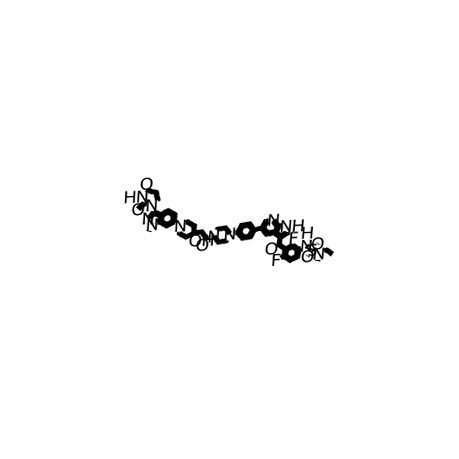 CCN(C)S(=O)(=O)Nc1ccc(F)c(C(=O)c2c[nH]c3ncc(-c4ccc(N5CCN(C(=O)CC6(O)CCN(c7ccc8c(N9CCC(=O)NC9=O)nn(C)c8c7)CC6)CC5)cc4)cc23)c1F